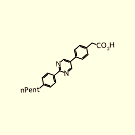 CCCCCc1ccc(-c2ncc(-c3ccc(CC(=O)O)cc3)cn2)cc1